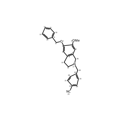 COc1cc2c(cc1OCc1ccccc1)CCN(Cc1ccc(C#N)cc1)C2